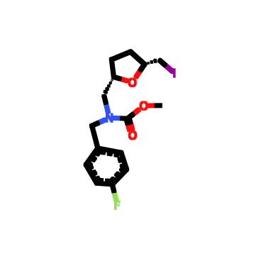 COC(=O)N(Cc1ccc(F)cc1)C[C@@H]1CC[C@H](CI)O1